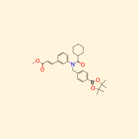 COC(=O)/C=C/c1cccc(N(Cc2ccc(B3OC(C)(C)C(C)(C)O3)cc2)C(=O)C2CCCCC2)c1